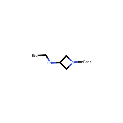 CCCCCN1CC(NCC(C)(C)C)C1